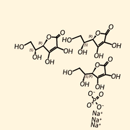 O=C1O[C@H]([C@@H](O)CO)C(O)=C1O.O=C1O[C@H]([C@@H](O)CO)C(O)=C1O.O=C1O[C@H]([C@@H](O)CO)C(O)=C1O.O=P([O-])([O-])[O-].[Na+].[Na+].[Na+]